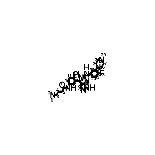 CN(C)C/C=C/C(=O)Nc1ccc(Cl)c(-c2nc(Nc3ccc(F)c(N4CCN(C)CC4)c3)nc3[nH]ncc23)c1